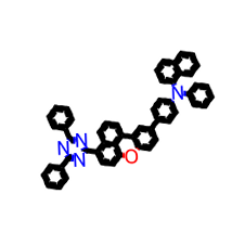 c1ccc(-c2nc(-c3ccccc3)nc(-c3ccc4c5c(cccc35)-c3cc(-c5ccc(N(c6ccccc6)c6cccc7ccccc67)cc5)ccc3O4)n2)cc1